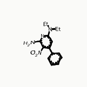 CCN(CC)c1cc(-c2ccccc2)c([N+](=O)[O-])c(N)n1